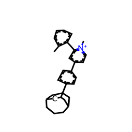 Cc1ccccc1-c1cc(-c2ccc(C3CC4CCCC(CCC4)C3)cc2)cc[n+]1C